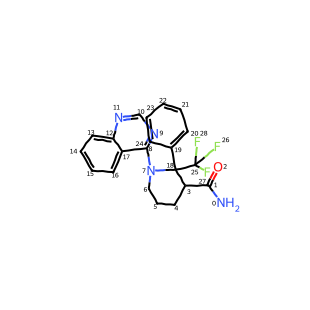 NC(=O)C1CCCN(c2ncnc3ccccc23)C1(c1ccccc1)C(F)(F)F